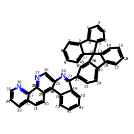 c1ccc2c(c1)-c1ccccc1C21c2ccccc2-c2ccc(-c3nc4cnc5c(ccc6cccnc65)c4c4ccccc34)cc21